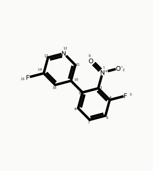 O=[N+]([O-])c1c(F)cccc1-c1cn[c]c(F)c1